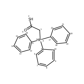 O=C(S)C[PH](c1ccccc1)(c1ccccc1)c1ccccc1